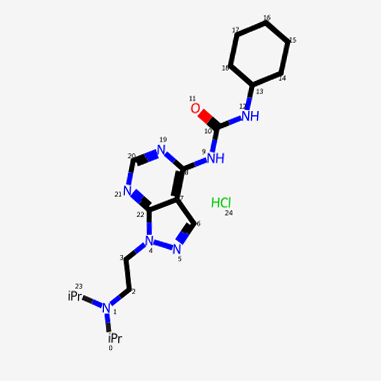 CC(C)N(CCn1ncc2c(NC(=O)NC3CCCCC3)ncnc21)C(C)C.Cl